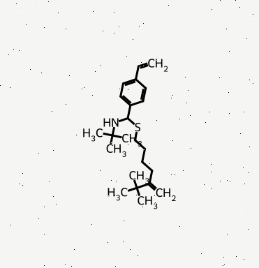 C=Cc1ccc(C(NC(C)(C)C)SCCCCC(=C)C(C)(C)C)cc1